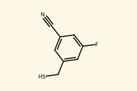 N#Cc1cc(F)cc(CS)c1